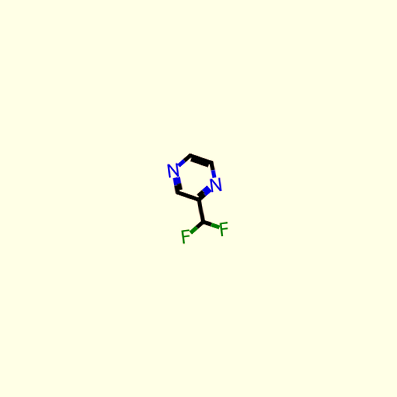 FC(F)c1cnccn1